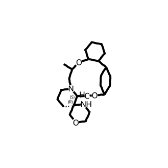 CC1CN2CCC[C@]3(COCCN3)[C@H]2COC2CCC(CC2)C2CCCCC2O1